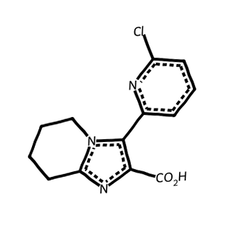 O=C(O)c1nc2n(c1-c1cccc(Cl)n1)CCCC2